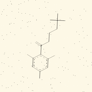 O=C(CCCC(F)(F)F)c1c(F)cc(Br)cc1F